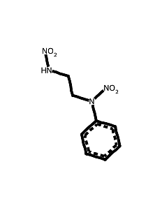 O=[N+]([O-])NCCN(c1ccccc1)[N+](=O)[O-]